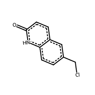 O=c1ccc2cc(CCl)ccc2[nH]1